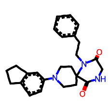 O=C1CNC(=O)C2(CCN(c3ccc4c(c3)CCC4)CC2)N1CCc1ccccc1